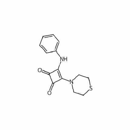 O=c1c(Nc2ccccc2)c(N2CCSCC2)c1=O